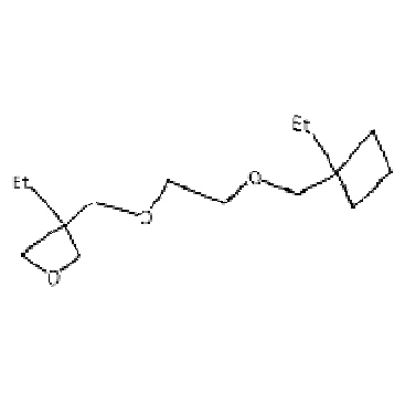 CCC1(COCCOCC2(CC)COC2)CCC1